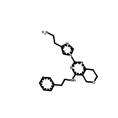 NCCc1cn(-c2nc3c(c(NCCc4ccccc4)n2)COCC3)cn1